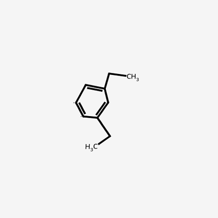 CCc1[c][c]cc(CC)c1